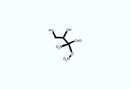 O=CC(O[N+](=O)[O-])(C(O)CO)[N+](=O)[O-]